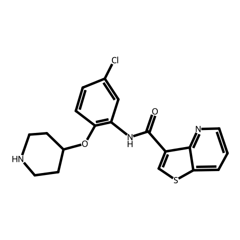 O=C(Nc1cc(Cl)ccc1OC1CCNCC1)c1csc2cccnc12